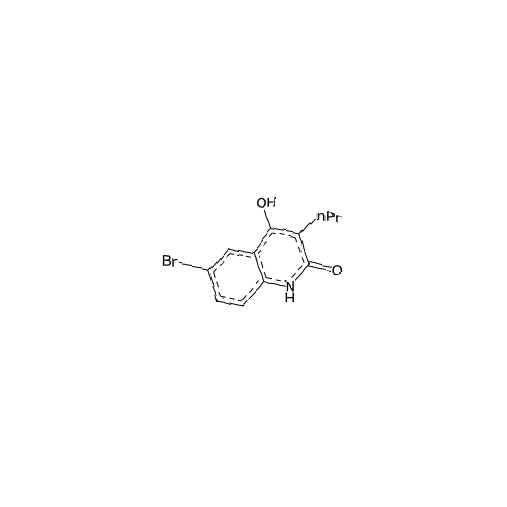 CCCc1c(O)c2cc(Br)ccc2[nH]c1=O